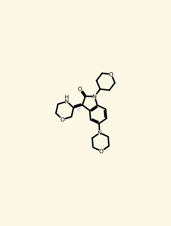 O=C1/C(=C2/COCCN2)c2cc(N3CCOCC3)ccc2N1C1CCOCC1